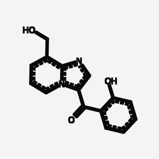 O=C(c1ccccc1O)c1cnc2c(CO)cccn12